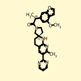 COc1cc([C@@H](C)C(=O)N2CC[C@@]3(CCc4cc(-c5ncccn5)c(C)nc4N3)C2)cc2occc12